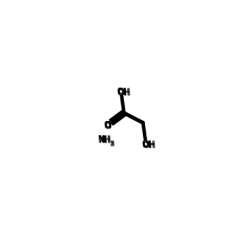 N.O=C(O)CO